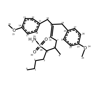 CCCCC(C(C)CC=C(Cc1ccc(OC)cc1)Cc1ccc(OC)cc1)S(N)(=O)=O